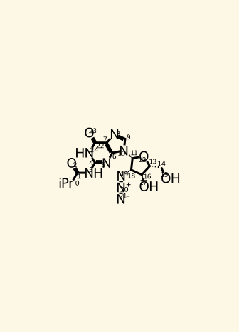 CC(C)C(=O)Nc1nc2c(ncn2[C@@H]2O[C@H](CO)[C@@H](O)[C@@H]2N=[N+]=[N-])c(=O)[nH]1